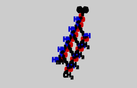 C=CCOC(=O)NCCCCCC(=O)N(CCNC(=O)CN(CCNC(=O)CN(CCNC(=O)CN(CCNC(=O)OCC1c2ccccc2-c2ccccc21)C(=O)CCCCCNC(=O)OCC=C)C(=O)CCCCCNC(=O)OCC=C)C(=O)CCCCCNC(=O)OCC=C)CC(=O)NCCC